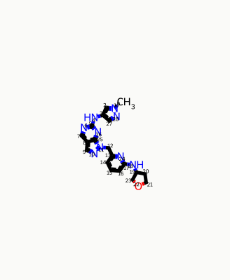 Cn1cc(Nc2ncc3cnn(Cc4cccc(NC5CCOC5)n4)c3n2)cn1